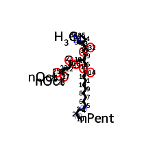 CCCCC/C=C\C/C=C\CCCCCCCC(=O)OCC(COC(=O)CCC(OCCCCCCCC)OCCCCCCCC)COC(=O)C1CCN(C)C1